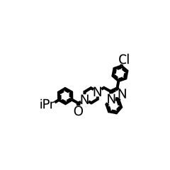 CC(C)c1cccc(C(=O)N2CCN(Cc3c(-c4ccc(Cl)cc4)nc4ccccn34)CC2)c1